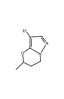 CCc1cnn2c1OC(C)CC2